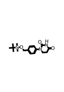 CC(C)(C)[Si](C)(C)OCc1ccc(N2CCC(=O)NC2=O)cc1